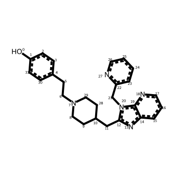 Oc1ccc(CCN2CCC(Cc3nc4cccnc4n3Cc3ccccn3)CC2)cc1